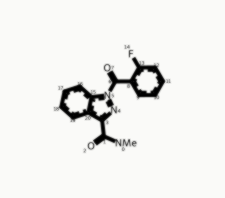 CNC(=O)c1nn(C(=O)c2ccccc2F)c2ccccc12